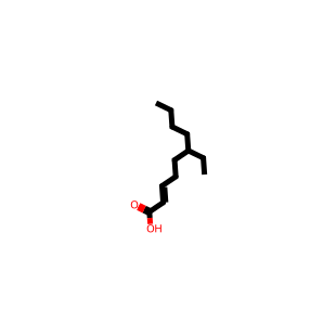 CCCCC(CC)CCC=CC(=O)O